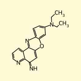 CCN(CC)c1ccc2nc3c4cccnc4c(=N)cc-3oc2c1